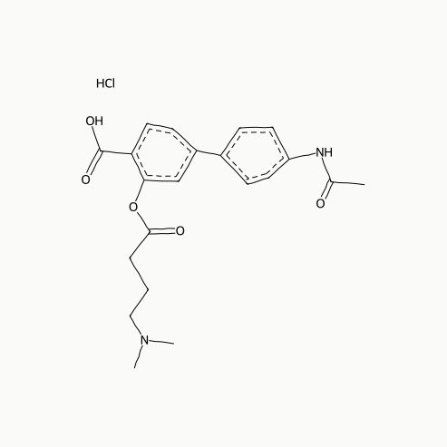 CC(=O)Nc1ccc(-c2ccc(C(=O)O)c(OC(=O)CCCN(C)C)c2)cc1.Cl